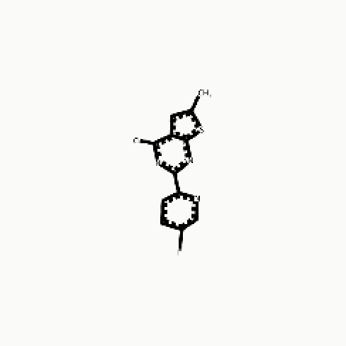 Cc1cc2c(Cl)nc(-c3ccc(F)cn3)nc2s1